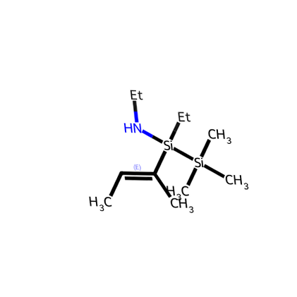 C/C=C(\C)[Si](CC)(NCC)[Si](C)(C)C